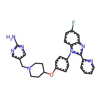 Nc1ncc(CN2CCC(Oc3ccc(-n4c(-c5ccccn5)nc5cc(F)ccc54)cc3)CC2)cn1